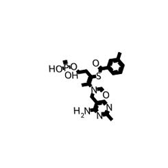 C=P(O)(O)OCC/C(SC(=O)c1cccc(C)c1)=C(\C)N(C=O)Cc1cnc(C)nc1N